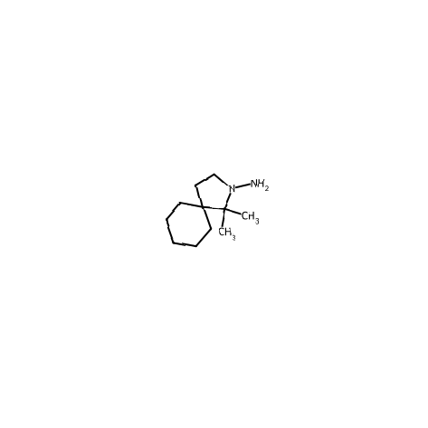 CC1(C)N(N)CCC12CCCCC2